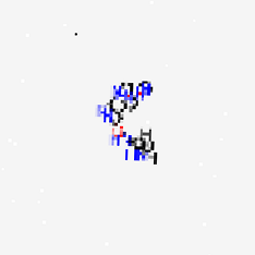 N#Cc1cnn2cc(OCN[C@H]3C[C@@H]4CC[C@H]5NC45C3)cc(-c3ccc(N4CC5CC(C4)N5Cc4cccnc4)nc3)c12